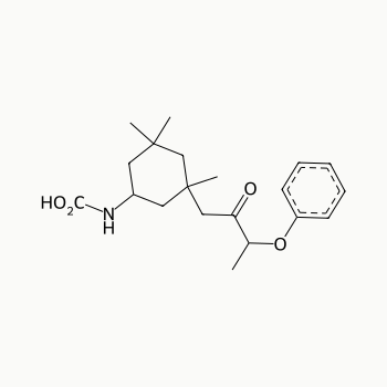 CC(Oc1ccccc1)C(=O)CC1(C)CC(NC(=O)O)CC(C)(C)C1